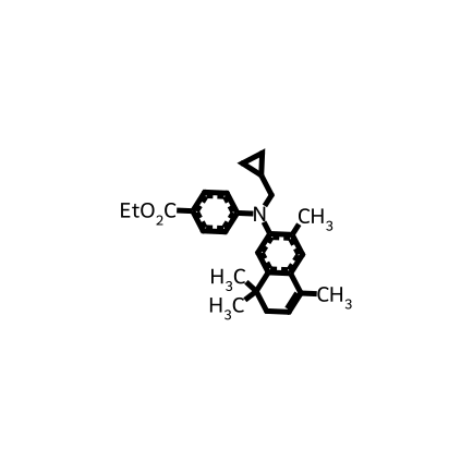 CCOC(=O)c1ccc(N(CC2CC2)c2cc3c(cc2C)C(C)=CCC3(C)C)cc1